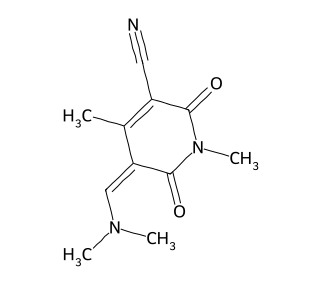 CC1=C(C#N)C(=O)N(C)C(=O)/C1=C\N(C)C